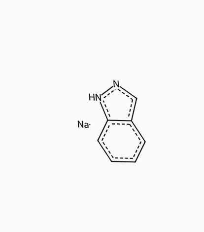 [Na].c1ccc2[nH]ncc2c1